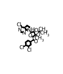 CC1(C)O[C@H]2[C@H](n3ccc4c(Cl)ncnc43)O[C@H](C(=O)c3ccc(Cl)c(Cl)c3)[C@@]2(C)O1